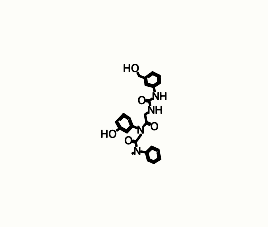 CN(C(=O)CN(C(=O)CNC(=O)Nc1cccc(CO)c1)c1cccc(O)c1)c1ccccc1